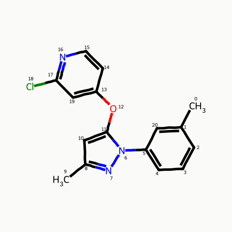 Cc1cccc(-n2nc(C)cc2Oc2ccnc(Cl)c2)c1